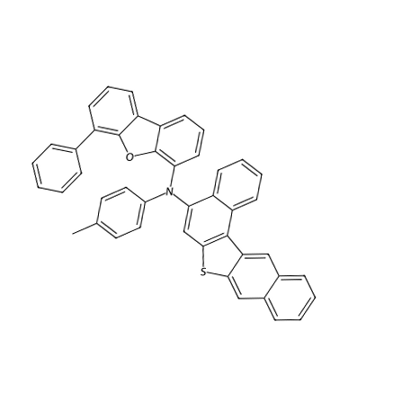 Cc1ccc(N(c2cc3sc4cc5ccccc5cc4c3c3ccccc23)c2cccc3c2oc2c(-c4ccccc4)cccc23)cc1